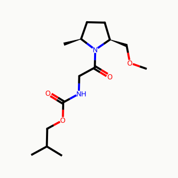 COC[C@@H]1CC[C@H](C)N1C(=O)CNC(=O)OCC(C)C